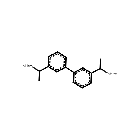 CCCCCCC(C)c1cc[c]c(-c2[c]ccc(C(C)CCCCCC)c2)c1